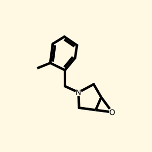 Cc1ccccc1CN1CC2OC2C1